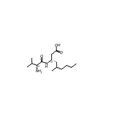 CCCCC(C)C[C@@H](CC(=O)O)NC(=O)[C@@H](N)C(C)C